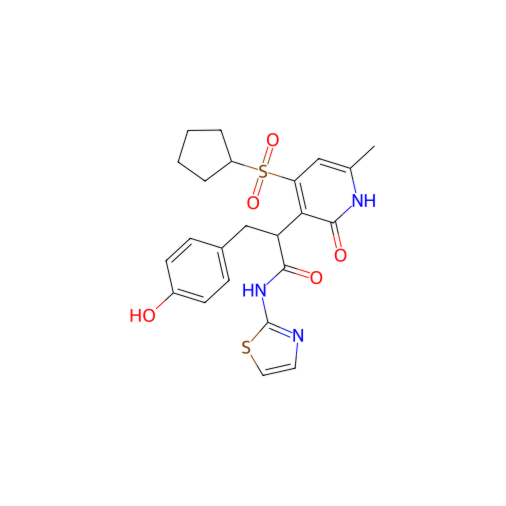 Cc1cc(S(=O)(=O)C2CCCC2)c(C(Cc2ccc(O)cc2)C(=O)Nc2nccs2)c(=O)[nH]1